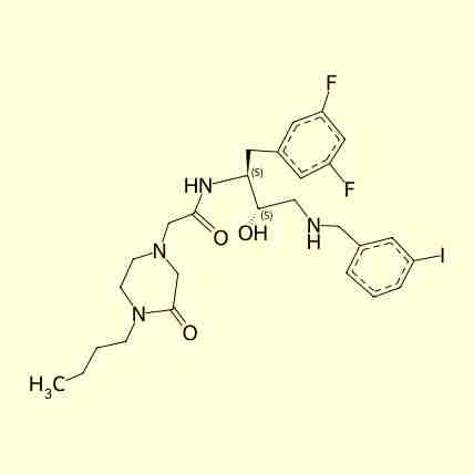 CCCCN1CCN(CC(=O)N[C@@H](Cc2cc(F)cc(F)c2)[C@@H](O)CNCc2cccc(I)c2)CC1=O